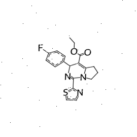 CCOC(=O)C1=C2CCCN2C(c2nccs2)=NC1c1ccc(F)cc1